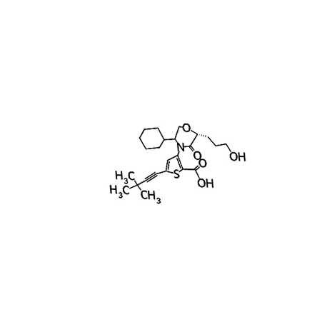 CC(C)(C)C#Cc1cc(N2C(=O)[C@@H](CCCO)OCC2C2CCCCC2)c(C(=O)O)s1